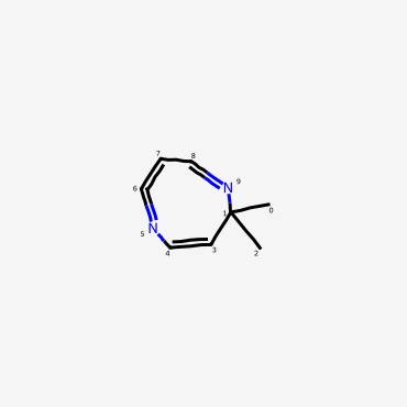 CC1(C)/C=C\N=C=C/C=N\1